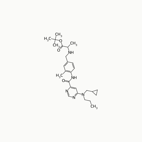 CCCN(CC1CC1)c1cc(C(=O)Nc2ccc(CNC(C)C(=O)OC(C)(C)C)cc2C)ncn1